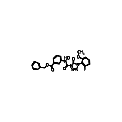 COc1cccc(F)c1-n1nnn(C(=O)N(O)c2cccc(C(=O)OCc3ccccc3)c2)c1=O